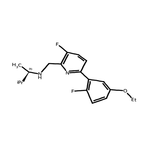 CCOc1ccc(F)c(-c2ccc(F)c(CN[C@H](C)C(C)C)n2)c1